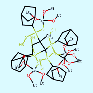 CCO[Si](OCC)(OCC)SS(SS)(C1CC2CCC1C2)C(C)(CCCC(C)CC)C(S(SS)(S[Si](OCC)(OCC)OCC)C1CC2CCC1C2)(S(SS)(S[Si](OCC)(OCC)OCC)C1CC2CCC1C2)S(SS)(S[Si](OCC)(OCC)OCC)C1CC2CCC1C2